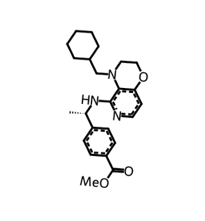 COC(=O)c1ccc([C@H](C)Nc2nccc3c2N(CC2CCCCC2)CCO3)cc1